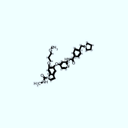 CNC(=O)n1ccc2cc(Oc3ccnc(NC(=O)c4ccc(CN5CCCC5)cc4)c3)c(OCCCOC)cc21